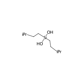 CC(C)CC[Si](O)(O)CCC(C)C